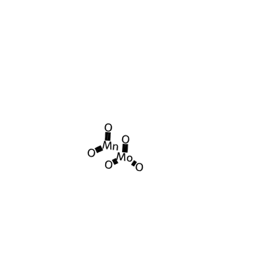 [O]=[Mn]=[O].[O]=[Mo](=[O])=[O]